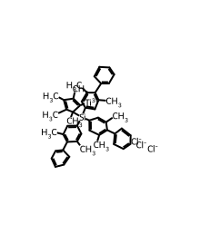 CC1=C(C)C(C)([Si](c2cc(C)c(-c3ccccc3)c(C)c2)(c2cc(C)c(-c3ccccc3)c(C)c2)c2cc(C)c(-c3ccccc3)c(C)c2)[C]([Ti+3])=C1C.[Cl-].[Cl-].[Cl-]